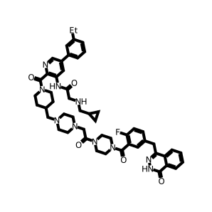 CCc1cccc(-c2cnc(C(=O)N3CCC(CN4CCN(CC(=O)N5CCN(C(=O)c6cc(Cc7n[nH]c(=O)c8ccccc78)ccc6F)CC5)CC4)CC3)c(NC(=O)CNCC3CC3)c2)c1